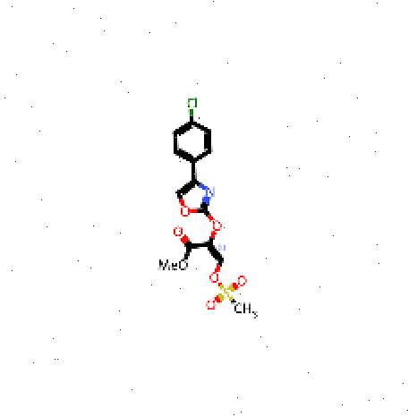 COC(=O)/C(=C\OS(C)(=O)=O)Oc1nc(-c2ccc(Cl)cc2)co1